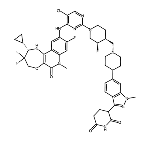 Cn1nc(C2CCC(=O)NC2=O)c2ccc(C3CCN(C[C@@H]4CCN(c5ncc(Cl)c(Nc6cc7c8c(c(=O)n(C)c7cc6F)OCC(F)(F)[C@H](C6CC6)N8)n5)C[C@@H]4F)CC3)cc21